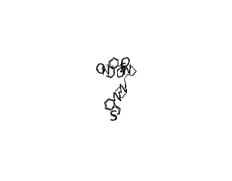 O=S(=O)(c1cccc2c1ccc[n+]2[O-])N1CCCC1CCN1CCN(c2cccc3sccc23)CC1